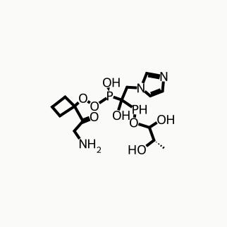 C[C@H](O)C(O)OPC(O)(Cn1ccnc1)[P@](O)OOC1(C(=O)CN)CCC1